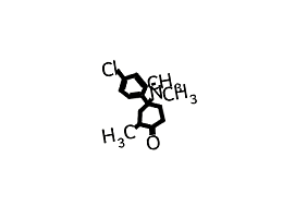 CC1CC(c2ccc(Cl)cc2)(N(C)C)CCC1=O